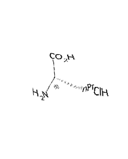 CCC[C@H](N)C(=O)O.Cl